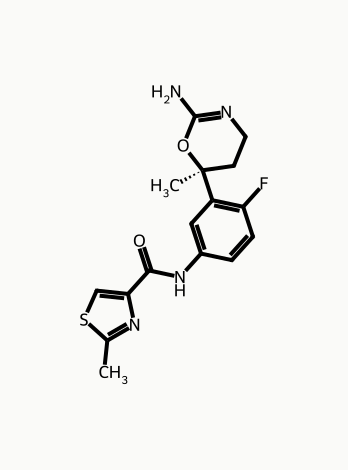 Cc1nc(C(=O)Nc2ccc(F)c([C@]3(C)CCN=C(N)O3)c2)cs1